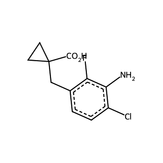 Nc1c(Cl)ccc(CC2(C(=O)O)CC2)c1F